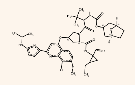 CCC1CC1(C=O)NC(=O)[C@@H]1C[C@@H](Oc2cc(-c3csc(NC(C)C)n3)nc3c(Cl)c(OC)ccc23)CN1C(=O)C(NC(=O)O[C@H]1C[C@H]2CC[C@@H](C1)O2)C(C)(C)C